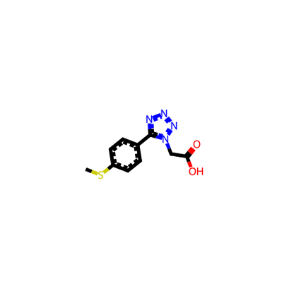 CSc1ccc(-c2nnnn2CC(=O)O)cc1